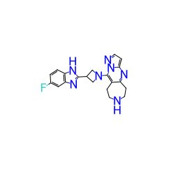 Fc1ccc2[nH]c(C3CN(c4c5c(nc6ccnn46)CCNCC5)C3)nc2c1